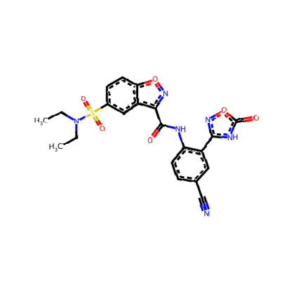 CCN(CC)S(=O)(=O)c1ccc2onc(C(=O)Nc3ccc(C#N)cc3-c3noc(=O)[nH]3)c2c1